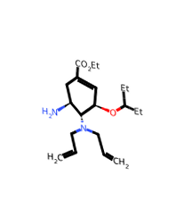 C=CCN(CC=C)[C@@H]1[C@@H](N)CC(C(=O)OCC)=C[C@H]1OC(CC)CC